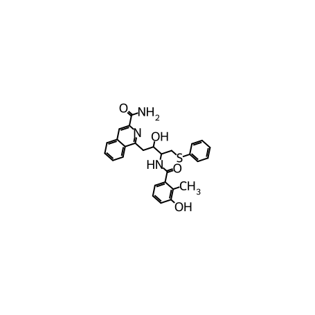 Cc1c(O)cccc1C(=O)NC(CSc1ccccc1)C(O)Cc1nc(C(N)=O)cc2ccccc12